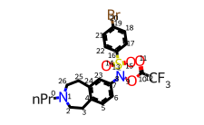 CCCN1CCc2ccc(N(OC(=O)C(F)(F)F)S(=O)(=O)c3ccc(Br)cc3)cc2CC1